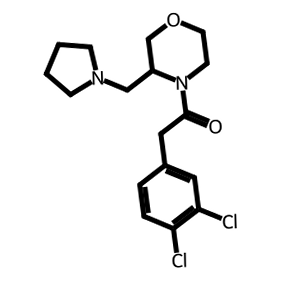 O=C(Cc1ccc(Cl)c(Cl)c1)N1CCOCC1CN1CCCC1